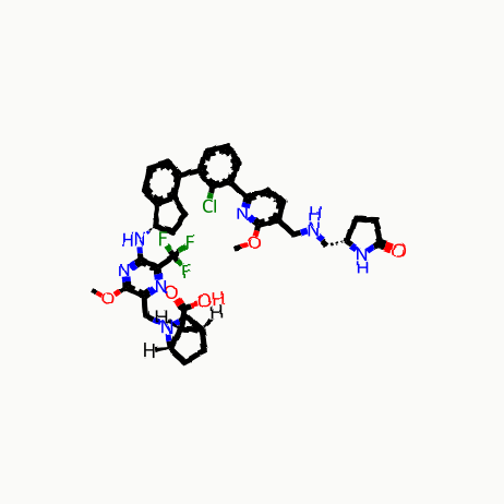 COc1nc(-c2cccc(-c3cccc4c3CC[C@@H]4Nc3nc(OC)c(CN4C[C@@H]5CC[C@H]4[C@@H]5C(=O)O)nc3C(F)(F)F)c2Cl)ccc1CNC[C@@H]1CCC(=O)N1